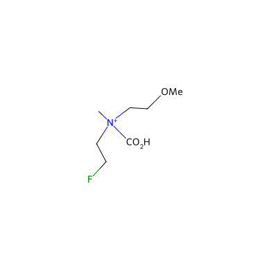 COCC[N+](C)(CCF)C(=O)O